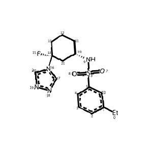 CCc1cccc(S(=O)(=O)N[C@H]2CCC[C@](F)(n3cnnc3)C2)c1